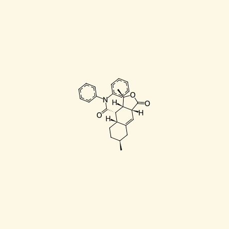 C[C@H]1CC[C@H]2C(=C[C@H]3C(=O)O[C@H](C)[C@H]3[C@H]2C(=O)N(c2ccccc2)c2ccccc2)C1